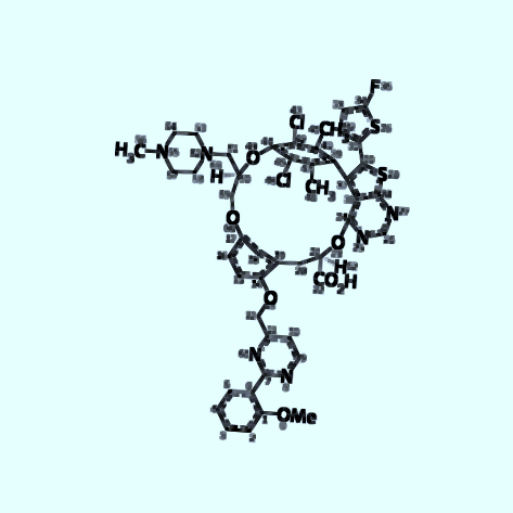 COc1ccccc1-c1nccc(COc2ccc3cc2C[C@H](C(=O)O)Oc2ncnc4sc(-c5ccc(F)s5)c(c24)-c2c(C)c(Cl)c(c(Cl)c2C)O[C@H](CN2CCN(C)CC2)CO3)n1